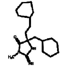 CN1C(=N)NC(CCC2CCCCC2)(CC2CCCCC2)C1=O